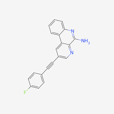 Nc1nc2ccccc2c2cc(C#Cc3ccc(F)cc3)cnc12